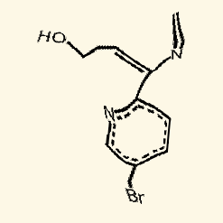 C=N/C(=C/CO)c1ccc(Br)cn1